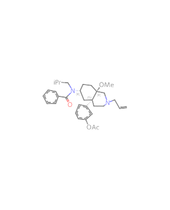 C=CCN1CC[C@@]2(c3cccc(OC(C)=O)c3)C[C@H](N(CC(C)C)C(=O)c3ccccc3)CC[C@]2(OC)C1